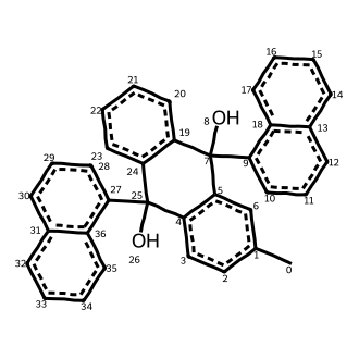 Cc1ccc2c(c1)C(O)(c1cccc3ccccc13)c1ccccc1C2(O)c1cccc2ccccc12